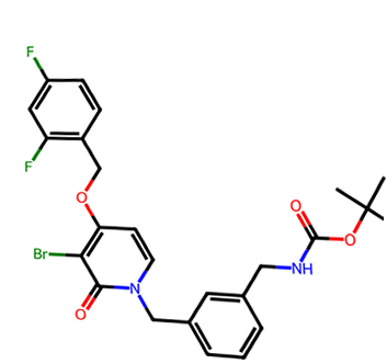 CC(C)(C)OC(=O)NCc1cccc(Cn2ccc(OCc3ccc(F)cc3F)c(Br)c2=O)c1